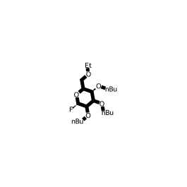 CCCCOC1C(OCCCC)[C@H](F)OC(COCC)[C@@H]1OCCCC